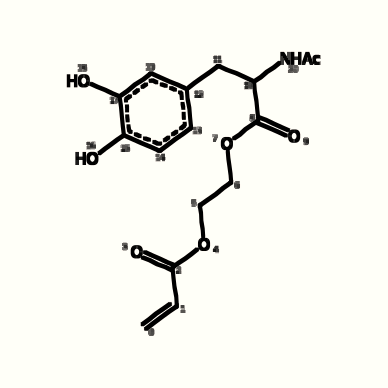 C=CC(=O)OCCOC(=O)C(Cc1ccc(O)c(O)c1)NC(C)=O